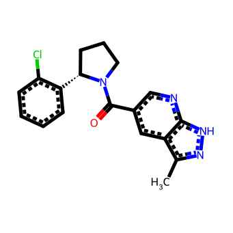 Cc1n[nH]c2ncc(C(=O)N3CCC[C@H]3c3ccccc3Cl)cc12